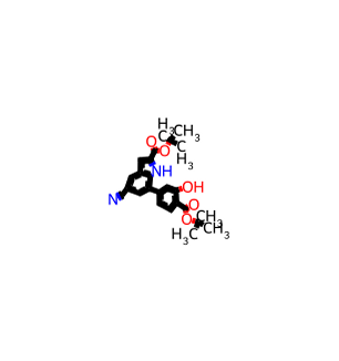 CC(C)(C)OC(=O)c1cc2cc(C#N)cc(-c3ccc(C(=O)OC(C)(C)C)c(O)c3)c2[nH]1